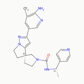 C[C@H](NC(=O)N1CC[C@@]2(CCn3nc(-c4cnc(N)c(C(F)(F)F)c4)cc32)C1)c1ccncc1